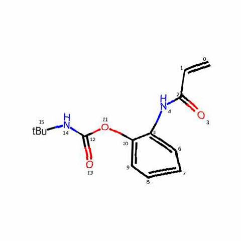 C=CC(=O)Nc1ccccc1OC(=O)NC(C)(C)C